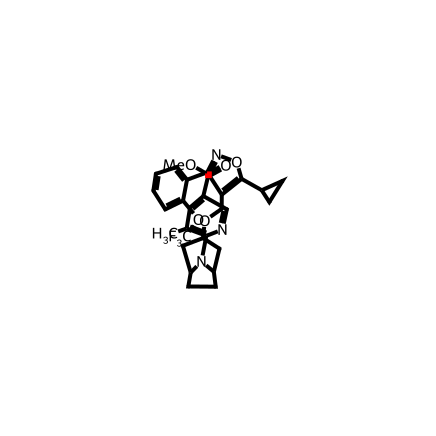 COC(=O)c1cnc(N2C3CCC2CC(OCc2c(-c4ccccc4OC(F)(F)F)noc2C2CC2)C3)c(C)c1